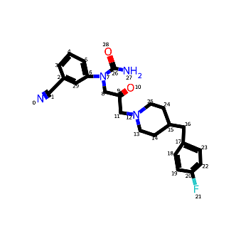 N#Cc1cccc(N(CC(=O)CN2CCC(Cc3ccc(F)cc3)CC2)C(N)=O)c1